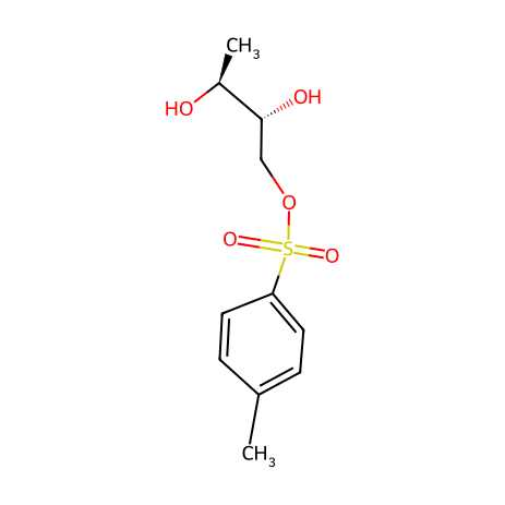 Cc1ccc(S(=O)(=O)OC[C@@H](O)[C@H](C)O)cc1